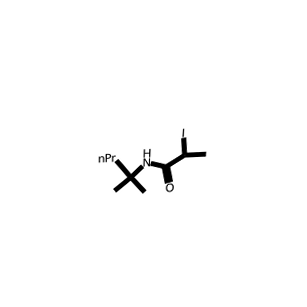 CCCC(C)(C)NC(=O)C(C)I